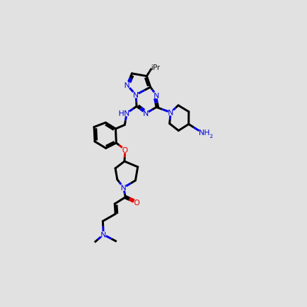 CC(C)c1cnn2c(NCc3ccccc3OC3CCN(C(=O)/C=C/CN(C)C)CC3)nc(N3CCC(N)CC3)nc12